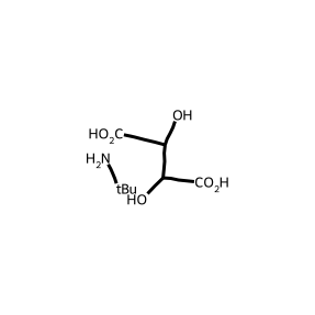 CC(C)(C)N.O=C(O)C(O)C(O)C(=O)O